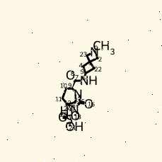 CN1CC2(CC(NC(=O)[C@@H]3CC[C@@H]4CN3C(=O)N4OS(=O)O)C2)C1